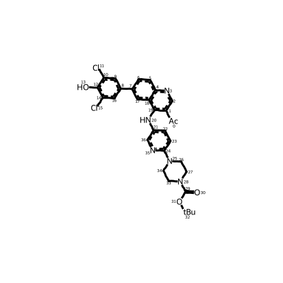 CC(=O)c1cnc2ccc(-c3cc(Cl)c(O)c(Cl)c3)cc2c1Nc1ccc(N2CCN(C(=O)OC(C)(C)C)CC2)nc1